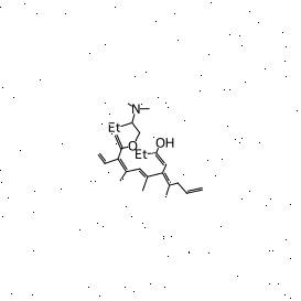 C=CC/C(C)=C(\C=C(\O)CC)C(/C)=C/C(C)=C(/C=C)C(=C)OCC(CC)N(C)C